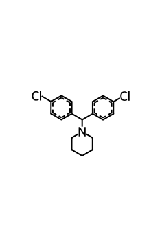 Clc1ccc(C(c2ccc(Cl)cc2)N2CCCCC2)cc1